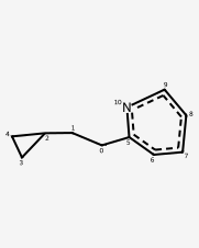 [CH](CC1CC1)c1ccccn1